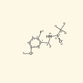 COc1ccc(F)c(C(C)N[S@+]([O-])C(C)(C)C)c1